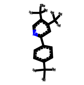 [2H]C([2H])([2H])c1ccc(-c2cc(C([2H])([2H])[2H])c(C([2H])([2H])C(C)(C)C)cn2)cc1